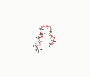 C[SiH](C)O[SiH](C)O[SiH](C)O[SiH](C)O[SiH](C)O[Si](C)(C)O[Si](C)(C)O[Si](C)(C)O[Si](C)(C)O[Si](C)(C)O[Si](C)(C)O[SiH](C)C